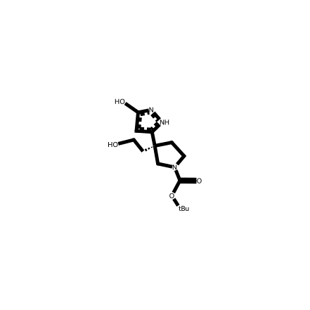 CC(C)(C)OC(=O)N1CC[C@](CCO)(c2cc(O)n[nH]2)C1